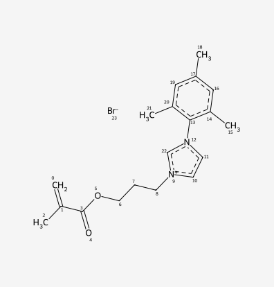 C=C(C)C(=O)OCCC[n+]1ccn(-c2c(C)cc(C)cc2C)c1.[Br-]